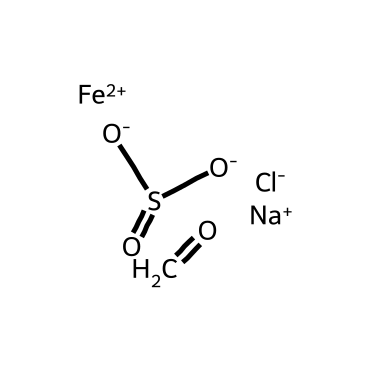 C=O.O=S([O-])[O-].[Cl-].[Fe+2].[Na+]